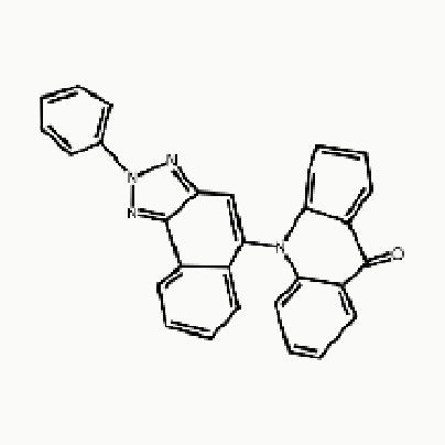 O=c1c2ccccc2n(-c2cc3nn(-c4ccccc4)nc3c3ccccc23)c2ccccc12